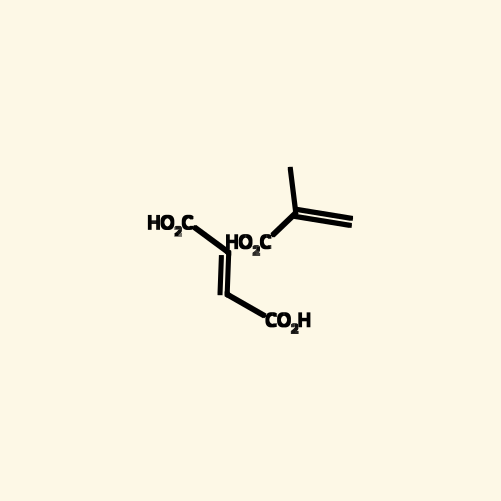 C=C(C)C(=O)O.O=C(O)C=CC(=O)O